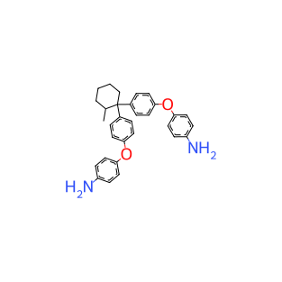 CC1CCCCC1(c1ccc(Oc2ccc(N)cc2)cc1)c1ccc(Oc2ccc(N)cc2)cc1